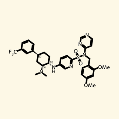 COc1ccc(CN(c2ccncn2)S(=O)(=O)c2ccc(N[C@H]3CC[C@H](c4cccc(C(F)(F)F)c4)C[C@@H]3N(C)C)cn2)c(OC)c1